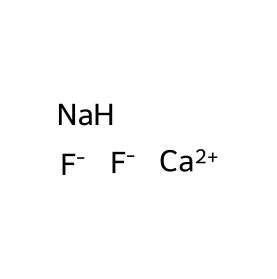 [Ca+2].[F-].[F-].[NaH]